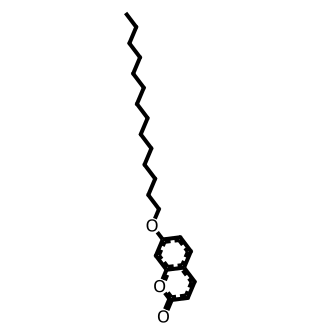 CCCCCCCCCCCCCCOc1ccc2ccc(=O)oc2c1